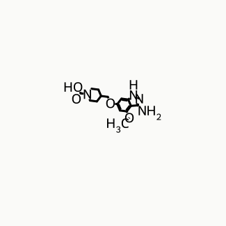 COc1cc(OCC2CCN(C(=O)O)CC2)cc2[nH]nc(N)c12